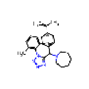 C=C(C)[C@@H]1CC=C(C(c2nnnn2-c2c(C)cccc2C)N2CCCCCC2)CC1